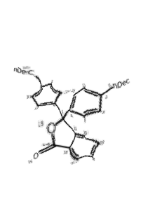 CCCCCCCCCCc1ccc(C2(c3ccc(CCCCCCCCCC)cc3)OC(=O)c3ccccc32)cc1